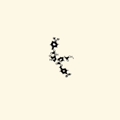 CC(=O)S[C@H]1C[C@@H](C2CNC(=O)C2NC(=O)OCc2ccc([N+](=O)[O-])cc2)N(C(=O)OCc2ccc([N+](=O)[O-])cc2)C1